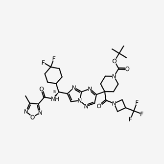 Cc1nonc1C(=O)N[C@H](c1cn2ncc(C3(C(=O)N4CC(C(F)(F)F)C4)CCN(C(=O)OC(C)(C)C)CC3)nc2n1)C1CCC(F)(F)CC1